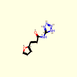 O=C(C=Cc1ccco1)Nc1nnn[nH]1